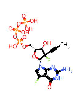 CC#CC1(F)[C@@H](O)[C@@H](COP(=O)(O)OP(=O)(O)OP(=O)(O)O)O[C@H]1n1cc(F)c2c(=O)[nH]c(N)nc21